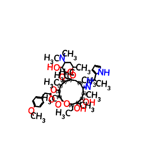 CC[C@H]1OC(=O)[C@H](C)[C@@H](OC(=O)Cc2ccc(OC)cc2)[C@H](C)[C@@H](OC2OC(C)CC(N(C)C)C2O)[C@](C)(OC)C[C@@H](C)/C(=N\N=C(/C)c2ccc[nH]2)[C@H](C)[C@@H](O)[C@]1(C)O